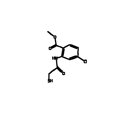 COC(=O)c1ccc(Cl)cc1NC(=O)CS